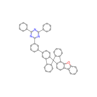 c1ccc(-c2nc(-c3ccccc3)nc(-c3cccc(-c4ccc5c(c4)-c4ccccc4C54c5ccccc5-c5c4ccc4c5oc5ccccc54)c3)n2)cc1